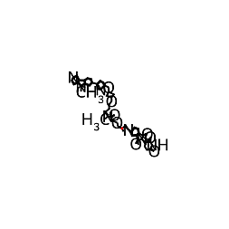 CN(CCCOC1CC(Oc2ccc(-c3ccc4c5cnccc5n(C)c4c3)cn2)C1)C(=O)COCC1CN(c2ccc3c(c2)C(=O)N(C2CCC(=O)NC2=O)C3=O)C1